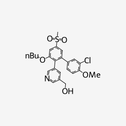 CCCCOc1cc(S(C)(=O)=O)cc(-c2ccc(OC)c(Cl)c2)c1-c1cncc(CO)c1